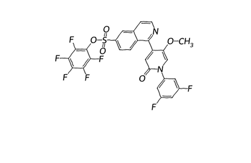 COc1cn(-c2cc(F)cc(F)c2)c(=O)cc1-c1nccc2cc(S(=O)(=O)Oc3c(F)c(F)c(F)c(F)c3F)ccc12